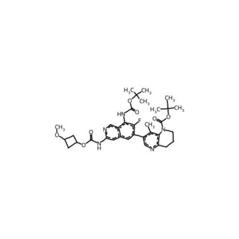 COC1CC(OC(=O)Nc2cc3cc(-c4cnc5c(c4C)N(C(=O)OC(C)(C)C)CCC5)c(F)c(NC(=O)OC(C)(C)C)c3cn2)C1